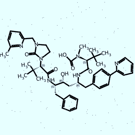 Cc1cccc(CN2CCN([C@H](C(=O)N[C@@H](Cc3ccccc3)[C@H](O)C[C@@H](Cc3ccc(-c4ccccn4)cc3)NC(=O)[C@@H](N(C)C(=O)O)C(C)(C)C)C(C)(C)C)C2=O)n1